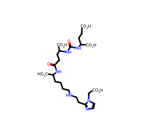 O=C(O)CCC(NC(=O)NC(CCC(=O)NC(CCCCNCCc1nccn1CC(=O)O)C(=O)O)C(=O)O)C(=O)O